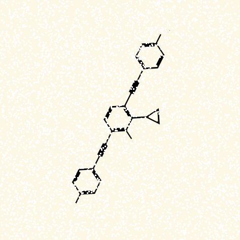 COc1ccc(C#Cc2ccc(C#Cc3ccc(C)cc3)c(F)c2C2CC2)cc1